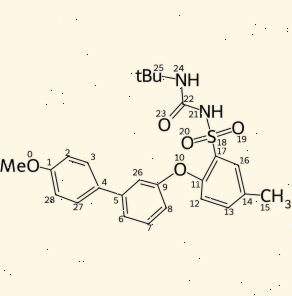 COc1ccc(-c2cccc(Oc3ccc(C)cc3S(=O)(=O)NC(=O)NC(C)(C)C)c2)cc1